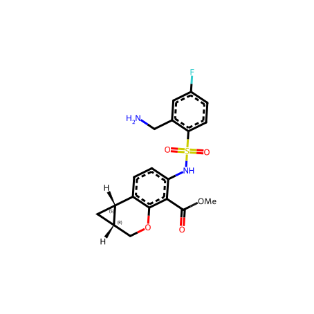 COC(=O)c1c(NS(=O)(=O)c2ccc(F)cc2CN)ccc2c1OC[C@@H]1C[C@H]21